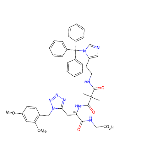 COc1ccc(Cn2nnnc2C[C@H](NC(=O)C(C)(C)C(=O)NCCc2cncn2C(c2ccccc2)(c2ccccc2)c2ccccc2)C(=O)NCC(=O)O)c(OC)c1